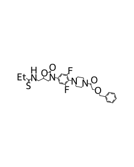 CCC(=S)NCC1CN(c2cc(F)c(N3CCN(C(=O)COCc4ccccc4)CC3)c(F)c2)C(=O)O1